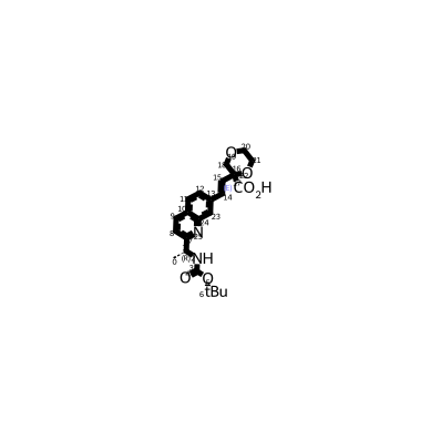 C[C@@H](NC(=O)OC(C)(C)C)c1ccc2ccc(/C=C/C3(C(=O)O)COCCO3)cc2n1